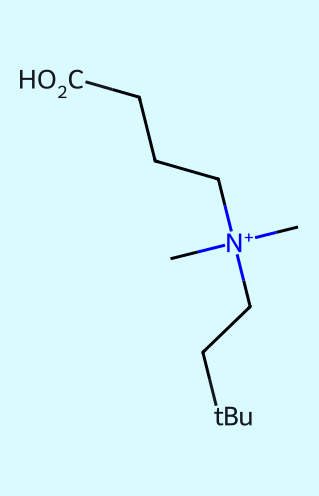 CC(C)(C)CC[N+](C)(C)CCCC(=O)O